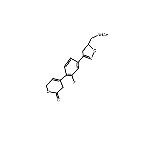 CC(=O)NCC1CC(c2ccc(C3=CCOC(=O)C3)c(F)c2)=NO1